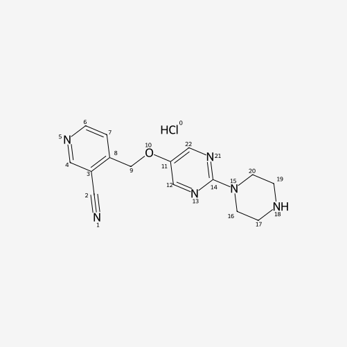 Cl.N#Cc1cnccc1COc1cnc(N2CCNCC2)nc1